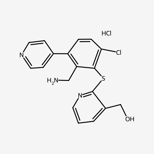 Cl.NCc1c(-c2ccncc2)ccc(Cl)c1Sc1ncccc1CO